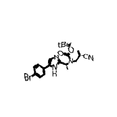 C[C@H](C#N)CN(C(=O)OC(C)(C)C)[C@@H](C)c1ncc(-c2ccc(Br)cc2)[nH]1